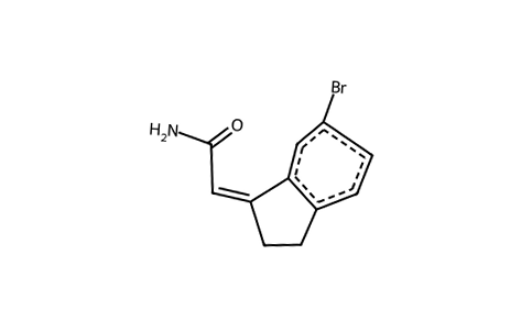 NC(=O)/C=C1/CCc2ccc(Br)cc21